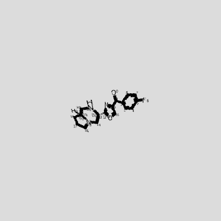 O=C(c1ccc(F)cc1)c1coc([C@@H]2CN3CCC[C@@H]3CN2)n1